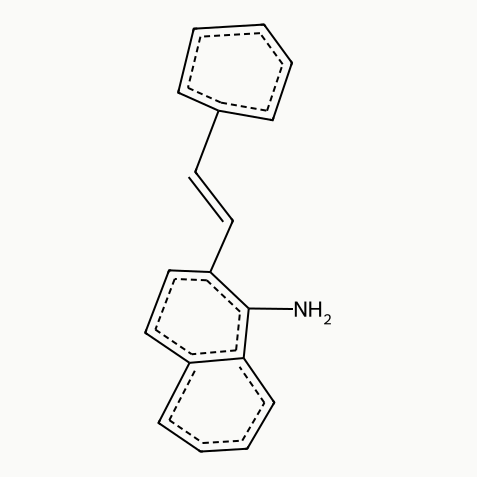 Nc1c(/C=C/c2ccccc2)ccc2ccccc12